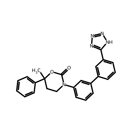 CC1(c2ccccc2)CCN(c2cccc(-c3cccc(-c4nnn[nH]4)c3)c2)C(=O)O1